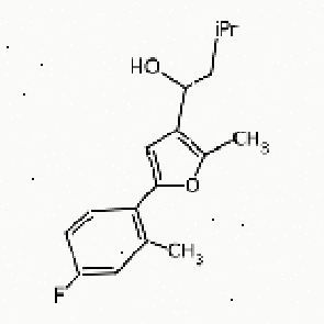 Cc1cc(F)ccc1-c1cc(C(O)CC(C)C)c(C)o1